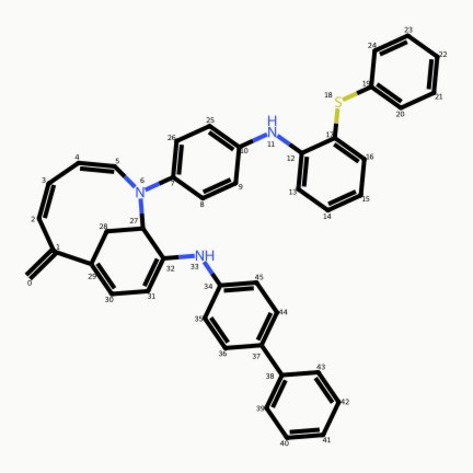 C=C1/C=C\C=C/N(c2ccc(Nc3ccccc3Sc3ccccc3)cc2)C2CC1=CC=C2Nc1ccc(-c2ccccc2)cc1